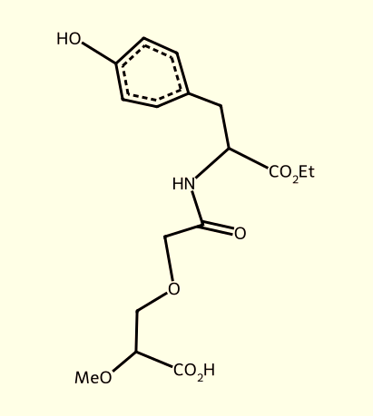 CCOC(=O)C(Cc1ccc(O)cc1)NC(=O)COCC(OC)C(=O)O